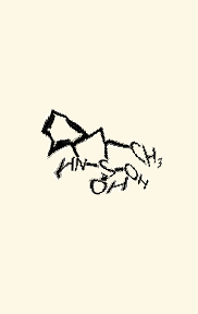 CC1Cc2ccccc2NS1(O)O